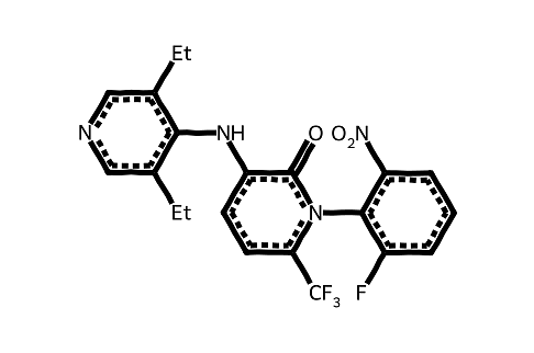 CCc1cncc(CC)c1Nc1ccc(C(F)(F)F)n(-c2c(F)cccc2[N+](=O)[O-])c1=O